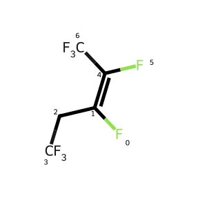 F/C(CC(F)(F)F)=C(\F)C(F)(F)F